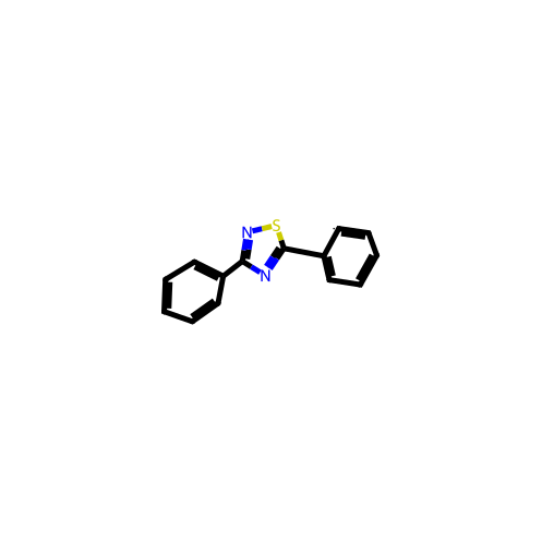 [c]1ccccc1-c1nc(-c2ccccc2)ns1